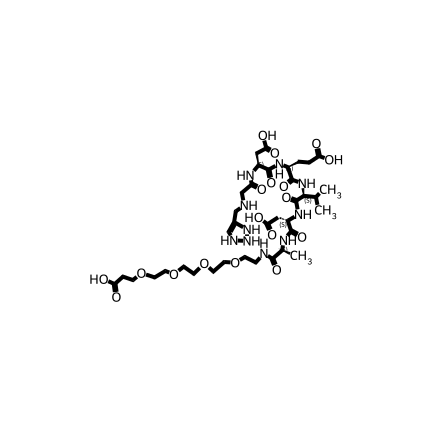 CC(C)[C@H](NC(=O)[C@H](CCC(=O)O)NC(=O)[C@H](CC(=O)O)NC(=O)CNCC1=CNNN1)C(=O)N[C@@H](CC(=O)O)C(=O)N[C@@H](C)C(=O)NCCOCCOCCOCCOCCC(=O)O